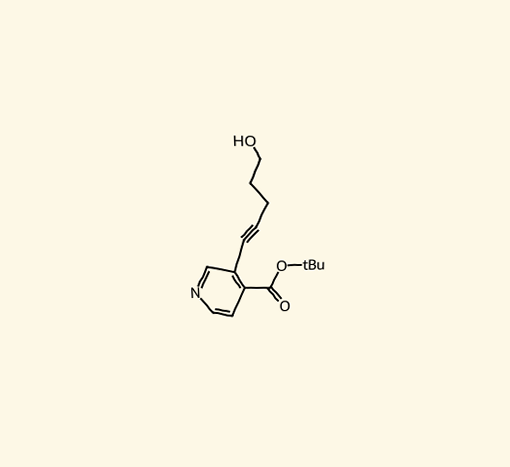 CC(C)(C)OC(=O)c1ccncc1C#CCCCO